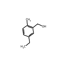 CCc1ccc(C)c([CH]O)c1